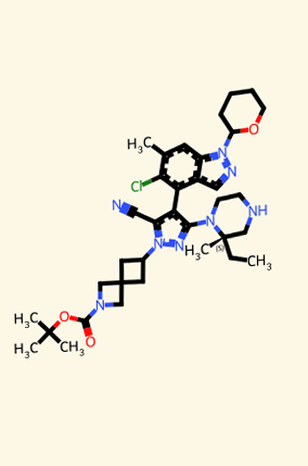 CC[C@@]1(C)CNCCN1c1nn(C2CC3(C2)CN(C(=O)OC(C)(C)C)C3)c(C#N)c1-c1c(Cl)c(C)cc2c1cnn2C1CCCCO1